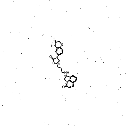 O=C1CSc2ccc(N3C[C@@H](CCCN[C@@H]4Cn5c(=O)ccc6cccc4c65)OC3=O)nc2N1